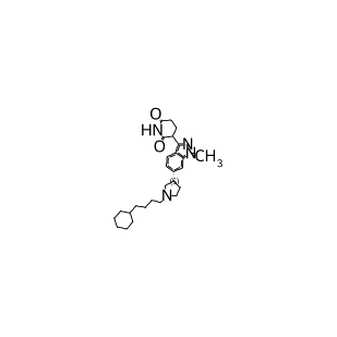 Cn1nc(C2CCC(=O)NC2=O)c2ccc([C@@H]3CCN(CCCCC4CCCCC4)C3)cc21